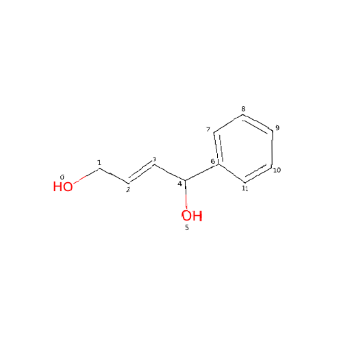 OCC=CC(O)c1ccccc1